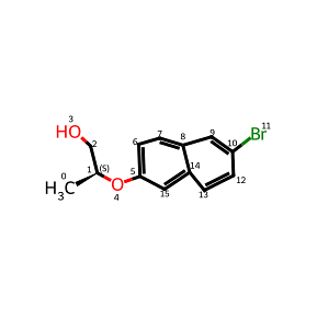 C[C@@H](CO)Oc1ccc2cc(Br)ccc2c1